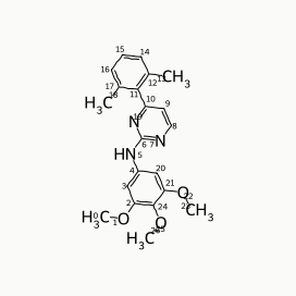 COc1cc(Nc2nccc(-c3c(C)cccc3C)n2)cc(OC)c1OC